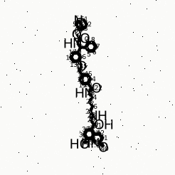 O=C(NC(c1ccccc1)c1cccc(OCc2ccc(C(=O)NCCCCNCC(O)c3ccc(O)c4[nH]c(=O)ccc34)cc2)c1)OC1CN2CCC1CC2